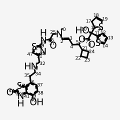 CN(/C=C/CC(OC(=O)C(O)(c1cccs1)C1CC=CS1)C1CCC1)CC(=O)Nc1nc(CNCCc2ccc(O)c3[nH]c(=O)sc23)cs1